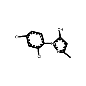 Cc1cc(O)n(-c2ccc(Cl)cc2Cl)n1